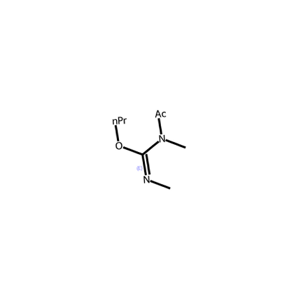 CCCO/C(=N/C)N(C)C(C)=O